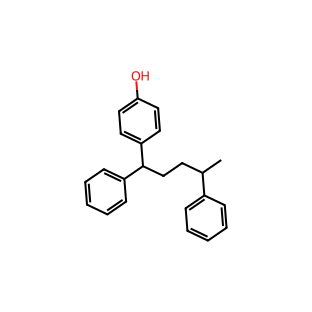 CC(CCC(c1ccccc1)c1ccc(O)cc1)c1ccccc1